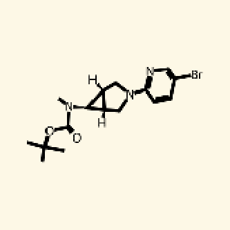 CN(C(=O)OC(C)(C)C)[C@H]1[C@@H]2CN(c3ccc(Br)cn3)C[C@@H]21